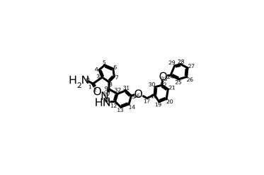 NC(=O)c1ccccc1-c1n[nH]c2ccc(OCc3cccc(Oc4ccccc4)c3)cc12